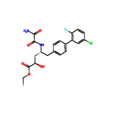 CCOC(=O)[C@H](O)C[C@@H](Cc1ccc(-c2cc(Cl)ccc2F)cc1)NC(=O)C(N)=O